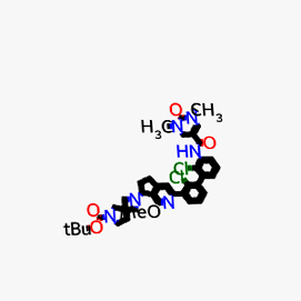 COc1nc(-c2cccc(-c3cccc(NC(=O)C4=CN(C)C(=O)N(C)C4)c3Cl)c2Cl)cc2c1C(N1CC3(CCN(C(=O)OC(C)(C)C)C3)C1)CC2